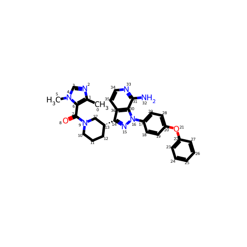 Cc1ncn(C)c1C(=O)N1CCC[C@@H](c2nn(-c3ccc(Oc4ccccc4)cc3)c3c(N)nccc23)C1